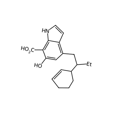 CCC(Cc1cc(O)c(C(=O)O)c2[nH]ccc12)C1C=CCCC1